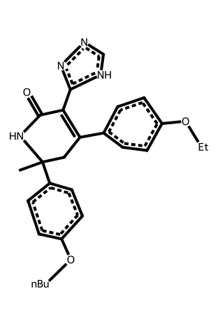 CCCCOc1ccc(C2(C)CC(c3ccc(OCC)cc3)=C(c3nnc[nH]3)C(=O)N2)cc1